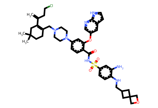 C=C(CCCl)C1=C(CN2CCN(c3ccc(C(=O)NS(=O)(=O)c4ccc(NCC5CC6(COC6)C5)c(N)c4)c(Oc4cnc5[nH]ccc5c4)c3)CC2)CCC(C)(C)C1